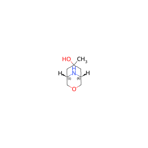 CC1(O)C[C@H]2COC[C@@H](C1)N2